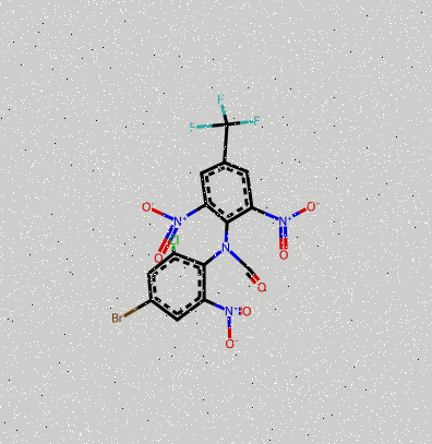 O=CN(c1c(Cl)cc(Br)cc1[N+](=O)[O-])c1c([N+](=O)[O-])cc(C(F)(F)F)cc1[N+](=O)[O-]